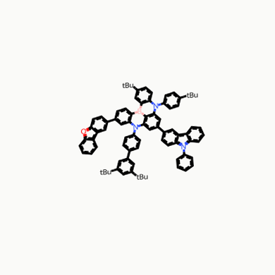 CC(C)(C)c1ccc(N2c3ccc(C(C)(C)C)cc3B3c4ccc(-c5ccc6oc7ccccc7c6c5)cc4N(c4ccc(-c5cc(C(C)(C)C)cc(C(C)(C)C)c5)cc4)c4cc(-c5ccc6c(c5)c5ccccc5n6-c5ccccc5)cc2c43)cc1